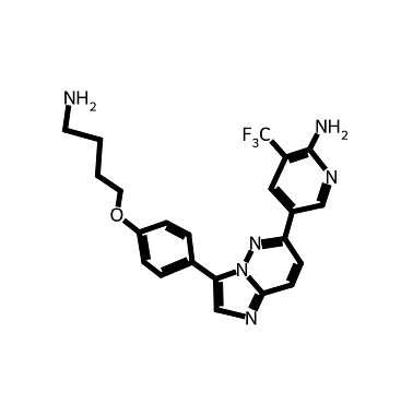 NCCCCOc1ccc(-c2cnc3ccc(-c4cnc(N)c(C(F)(F)F)c4)nn23)cc1